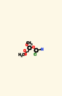 COC(=O)Cc1cc(OC)cc(Oc2cc(Cl)cc(C#N)c2)c1